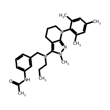 CCCN(Cc1cccc(NC(C)=O)c1)c1c2c(nn1C)N(c1c(C)cc(C)cc1C)CCC2